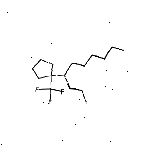 CCCCCCC(CCC)C1(C(F)(F)F)CCCC1